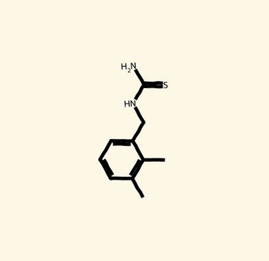 Cc1cccc(CNC(N)=S)c1C